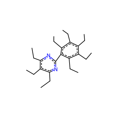 CCc1nc(-c2c(CC)c(CC)c(CC)c(CC)c2CC)nc(CC)c1CC